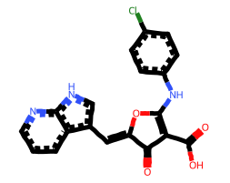 O=C(O)C1=C(Nc2ccc(Cl)cc2)OC(=Cc2c[nH]c3ncccc23)C1=O